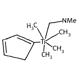 CN[CH2][Ti]([CH3])([CH3])([CH3])([CH3])[C]1=CC=CC1